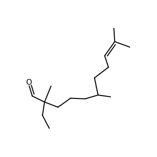 CCC(C)(C=O)CCCC(C)CCC=C(C)C